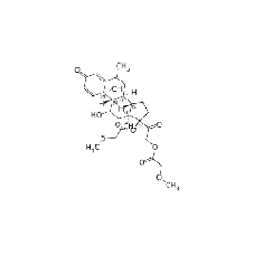 COCC(=O)OCC(=O)[C@@]1(OC(=O)CSC)CC[C@H]2[C@@H]3CC(C)C4=CC(=O)C=C[C@]4(C)[C@H]3C(O)C[C@@]21C